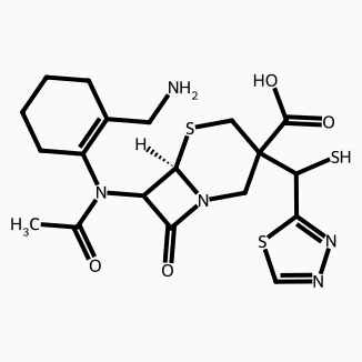 CC(=O)N(C1=C(CN)CCCC1)C1C(=O)N2CC(C(=O)O)(C(S)c3nncs3)CS[C@H]12